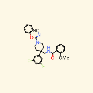 COc1ccccc1C(=O)NCC1(c2cc(F)cc(F)c2)CCN(/C(=N/C#N)Oc2ccccc2)CC1